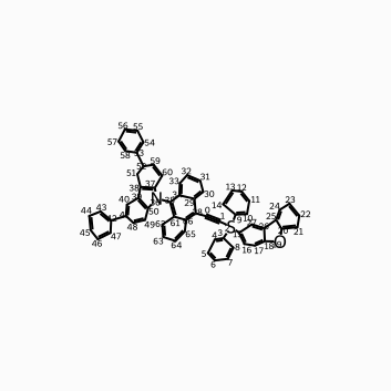 C(#CS(c1ccccc1)(c1ccccc1)c1ccc2oc3ccccc3c2c1)c1c2ccccc2c(-n2c3c(c4cc(-c5ccccc5)ccc42)CC(c2ccccc2)C=C3)c2ccccc12